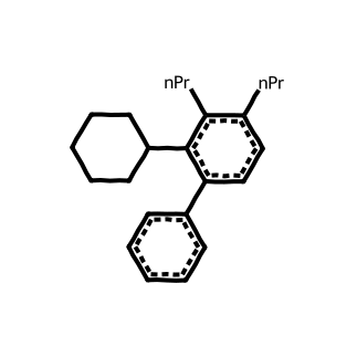 CCCc1ccc(-c2ccccc2)c(C2CCCCC2)c1CCC